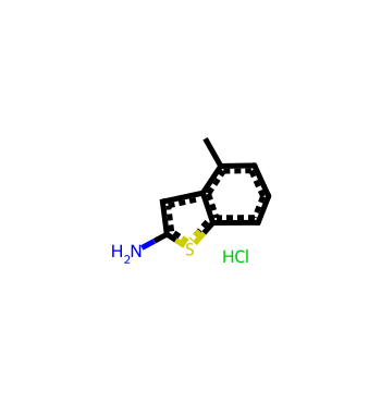 Cc1cccc2sc(N)cc12.Cl